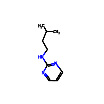 CC(C)CCNc1ncccn1